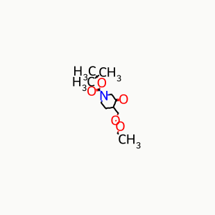 CCOOCC1CCN(C(=O)OC(C)(C)C)CC1=O